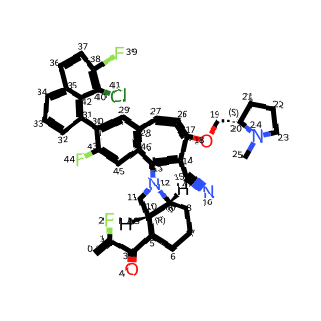 C=C(F)C(=O)C1CCC[C@@H]2[C@H]1CN2C1=C(C#N)C(OC[C@@H]2CCCN2C)=C=Cc2cc(-c3cccc4ccc(F)c(Cl)c34)c(F)cc21